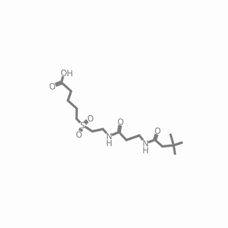 CC(C)(C)CC(=O)NCCC(=O)NCCS(=O)(=O)CCCCC(=O)O